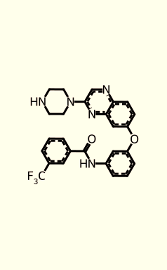 O=C(Nc1cccc(Oc2ccc3ncc(N4CCNCC4)nc3c2)c1)c1cccc(C(F)(F)F)c1